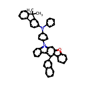 CC1(C)c2ccccc2-c2ccc(N(c3ccccc3)c3ccc(-n4c5ccccc5c5c(-c6ccc7ccccc7c6)c6c(cc54)oc4ccccc46)cc3)cc21